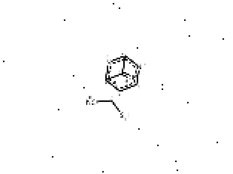 N#CCS.O=C1c2ccnc1n2